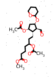 COC(=O)CCCC(CC[C@H]1[C@H](C=O)[C@@H](OC2CCCCO2)C[C@H]1OC(C)=O)OC(C)=O